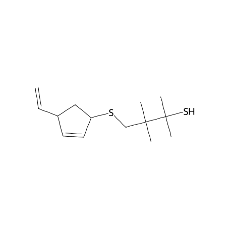 C=CC1C=CC(SCC(C)(C)C(C)(C)S)C1